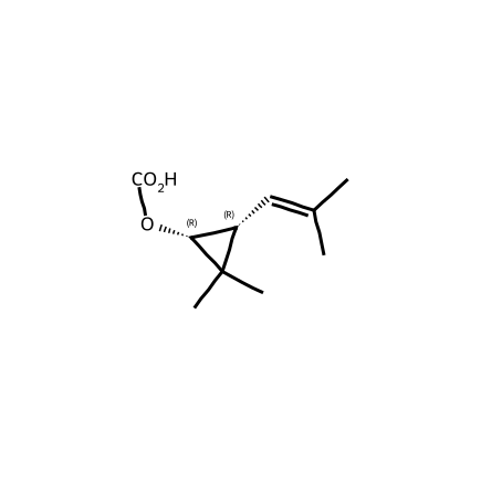 CC(C)=C[C@H]1[C@@H](OC(=O)O)C1(C)C